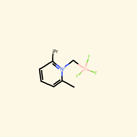 Cc1cccc(C(C)C)[n+]1C[B-](F)(F)F